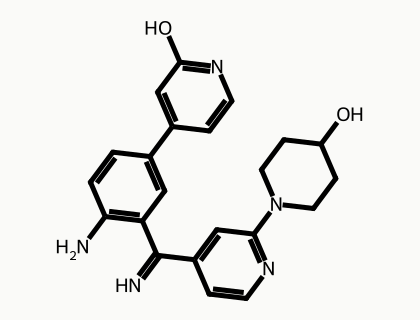 N=C(c1ccnc(N2CCC(O)CC2)c1)c1cc(-c2ccnc(O)c2)ccc1N